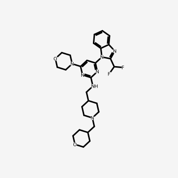 FC(F)c1nc2ccccc2n1-c1cc(N2CCOCC2)nc(NCC2CCN(CC3CCOCC3)CC2)n1